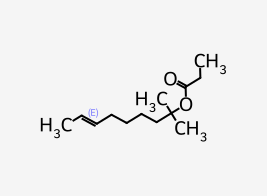 C/C=C/CCCCC(C)(C)OC(=O)CC